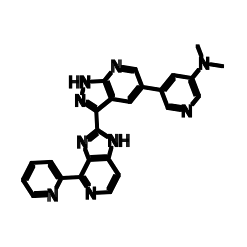 CN(C)c1cncc(-c2cnc3[nH]nc(-c4nc5c(-c6ccccn6)nccc5[nH]4)c3c2)c1